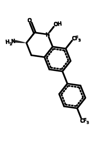 N[C@H]1Cc2cc(-c3ccc(C(F)(F)F)cc3)cc(C(F)(F)F)c2N(O)C1=O